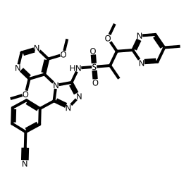 COc1ncnc(OC)c1-n1c(NS(=O)(=O)C(C)C(OC)c2ncc(C)cn2)nnc1-c1cccc(C#N)c1